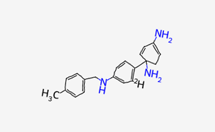 [2H]c1cc(NCc2ccc(C)cc2)ccc1C1(N)C=CC(N)=CC1